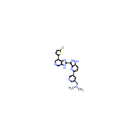 CN(C)Cc1cncc(-c2ccc3[nH]nc(-c4nc5c(-c6ccc(Cl)s6)cncc5[nH]4)c3n2)c1